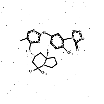 Cc1ccc(Nc2ncc(F)c(N[C@@H]3C[C@@H]4CCCN4C(C)(C)C3)n2)cc1-n1nn[nH]c1=O